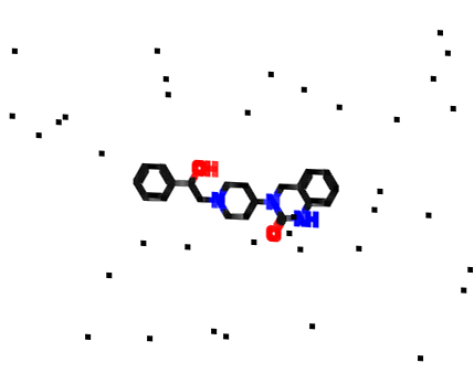 O=C1Nc2ccccc2CN1C1CCN(CC(O)c2ccccc2)CC1